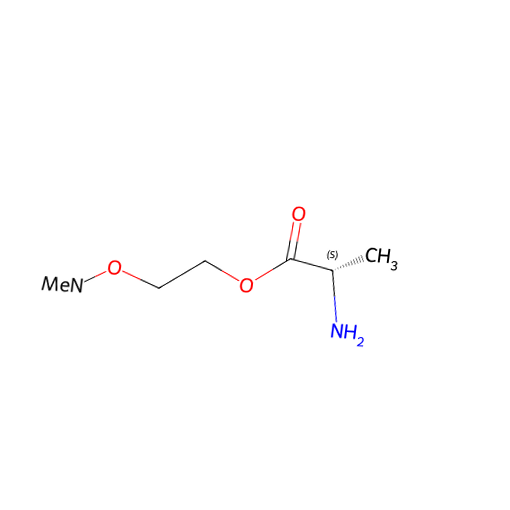 CNOCCOC(=O)[C@H](C)N